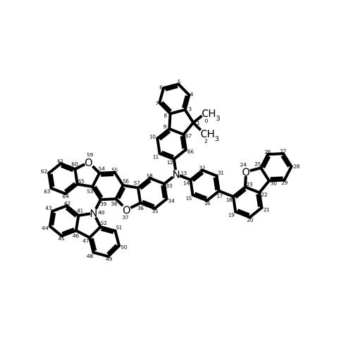 CC1(C)c2ccccc2-c2ccc(N(c3ccc(-c4cccc5c4oc4ccccc45)cc3)c3ccc4oc5c(-n6c7ccccc7c7ccccc76)c6c(cc5c4c3)oc3ccccc36)cc21